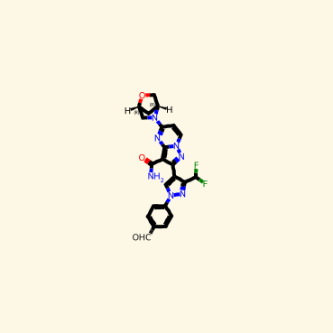 NC(=O)c1c(-c2cn(-c3ccc(C=O)cc3)nc2C(F)F)nn2ccc(N3C[C@H]4C[C@@H]3CO4)nc12